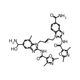 Cc1nc(C)c(C(=O)Nc2nc3cc(C(N)=O)ccc3n2C/C=C/Cn2c(NC(=O)c3oc(C)nc3C)nc3cc(C(N)O)cc(C)c32)o1